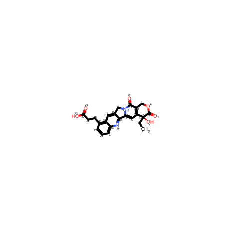 CC[C@@]1(O)C(=O)OCc2c1cc1n(c2=O)Cc2cc3c(CCC(=O)O)cccc3nc2-1